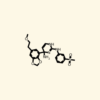 COCCc1cc2c(c(C3(N)C=CNC(Nc4cccc(S(C)(=O)=O)c4)=N3)c1)OCO2